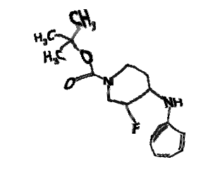 CC(C)(C)OC(=O)N1CCC(Nc2ccccc2)C(F)C1